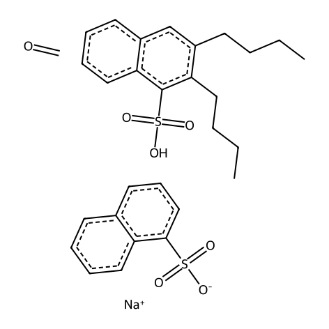 C=O.CCCCc1cc2ccccc2c(S(=O)(=O)O)c1CCCC.O=S(=O)([O-])c1cccc2ccccc12.[Na+]